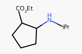 CCOC(=O)C1CCCC1NC(C)C